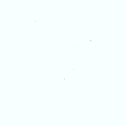 CN1CCN(c2nc(OC[C@@H]3CCCN3C)nc(C(=O)Nc3cccc4cccc(Cl)c34)c2N)CC1